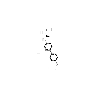 CCc1ccc(-c2ccc(NC(=O)NC)cc2C)cc1